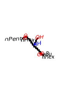 CCCCCCC(CCCC)COC(=O)CCCCCCCCC(CCCCCCCCC(=O)OCC(CCCCC)CCCCCC)NCCCCO